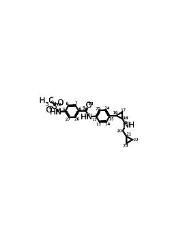 CS(=O)(=O)Nc1ccc(C(=O)Nc2ccc(C3CC3NCC3CC3)cc2)cc1